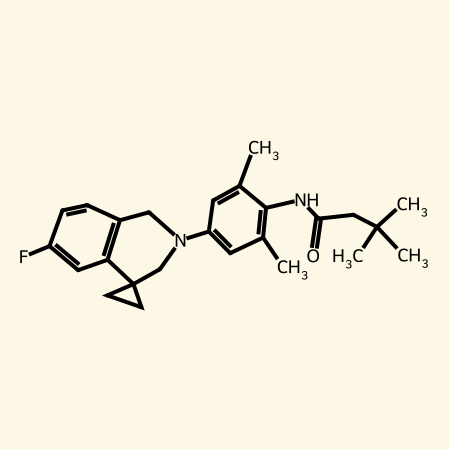 Cc1cc(N2Cc3ccc(F)cc3C3(CC3)C2)cc(C)c1NC(=O)CC(C)(C)C